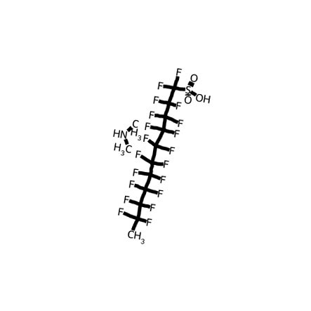 CC(F)(F)C(F)(F)C(F)(F)C(F)(F)C(F)(F)C(F)(F)C(F)(F)C(F)(F)C(F)(F)C(F)(F)S(=O)(=O)O.CNC